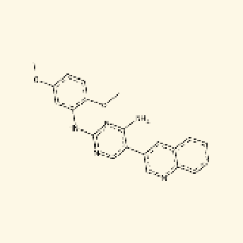 COc1ccc(OC)c(Nc2ncc(-c3cnc4ccccc4c3)c(N)n2)c1